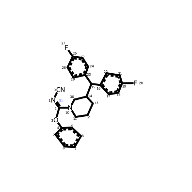 N#C/N=C(/Oc1ccccc1)N1CCCC(C(c2ccc(F)cc2)c2ccc(F)cc2)C1